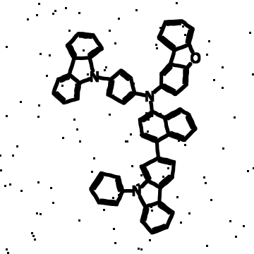 c1ccc(-n2c3ccccc3c3ccc(-c4ccc(N(c5ccc(-n6c7ccccc7c7ccccc76)cc5)c5ccc6oc7ccccc7c6c5)c5ccccc45)cc32)cc1